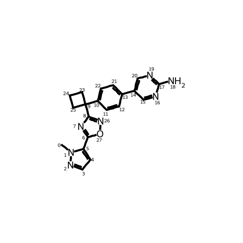 Cn1nccc1-c1nc(C2(c3ccc(-c4cnc(N)nc4)cc3)CCC2)no1